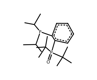 CC(C)P(c1ccccc1P(=O)(C(C)(C)C)C(C)(C)C)C(C)C